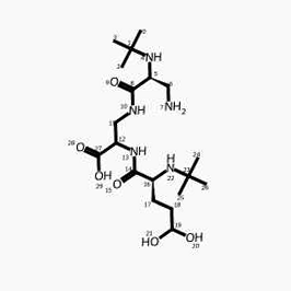 CC(C)(C)N[C@@H](CN)C(=O)NCC(NC(=O)[C@H](CCC(O)O)NC(C)(C)C)C(=O)O